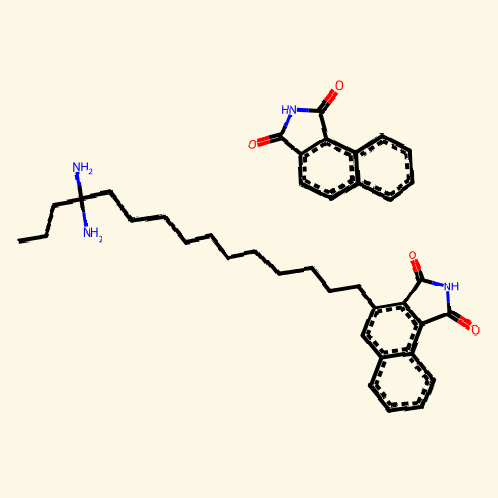 CCCC(N)(N)CCCCCCCCCCCc1cc2ccccc2c2c1C(=O)NC2=O.O=C1NC(=O)c2c1ccc1ccccc21